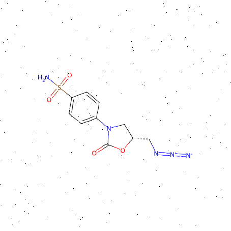 [N-]=[N+]=NC[C@H]1CN(c2ccc(S(N)(=O)=O)cc2)C(=O)O1